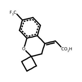 O=C(O)/C=C1\CC2(CCC2)Oc2cc(C(F)(F)F)ccc21